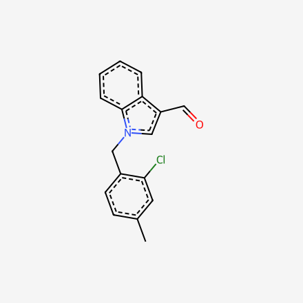 Cc1ccc(Cn2cc(C=O)c3ccccc32)c(Cl)c1